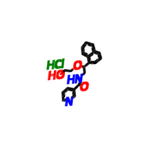 Cl.O=C(NCC(OCCO)c1cccc2ccccc12)c1cccnc1